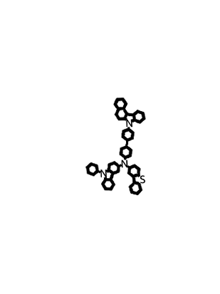 c1ccc(-n2c3ccccc3c3cc(N(c4ccc(-c5ccc(-n6c7ccccc7c7c8ccccc8ccc76)cc5)cc4)c4ccc5sc6ccccc6c5c4)ccc32)cc1